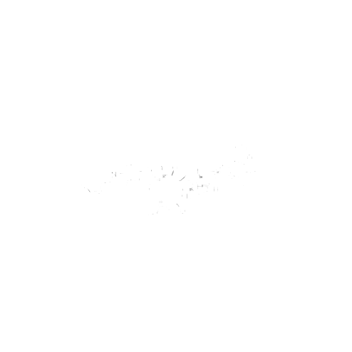 CC[C@H]1CCC[C@H](OC2CCC(N(C)CCOC(C)=O)C(C)O2)[C@@H](C)C(=O)C2=C[C@H]3[C@@H]4C[C@H](OC5OC(C)C(OC)C(OC)C5CO)C[C@H]4CC[C@H]3C2CC(=O)O1